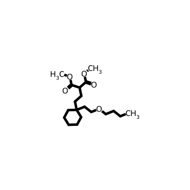 CCCCOCCC1(CCC(C(=O)OC)C(=O)OC)CCCCC1